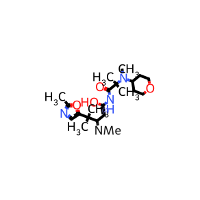 CNC(/C=C(\O)NC(=O)C(C)(C)N(C)C1CCOCC1)C(C)(C)c1cnc(C)o1